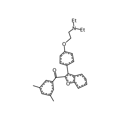 CCN(CC)CCOc1ccc(-c2c(C(=O)c3cc(C)cc(C)c3)oc3ccccc23)cc1